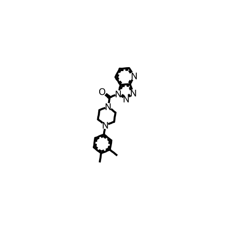 Cc1ccc(N2CCN(C(=O)n3nnc4ncccc43)CC2)cc1C